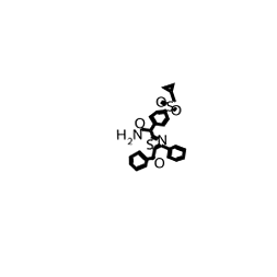 NC(=O)C(c1ccc(S(=O)(=O)CC2CC2)cc1)c1nc(-c2ccccc2)c(C(=O)c2ccccc2)s1